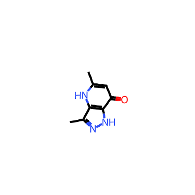 Cc1cc(=O)c2[nH]nc(C)c2[nH]1